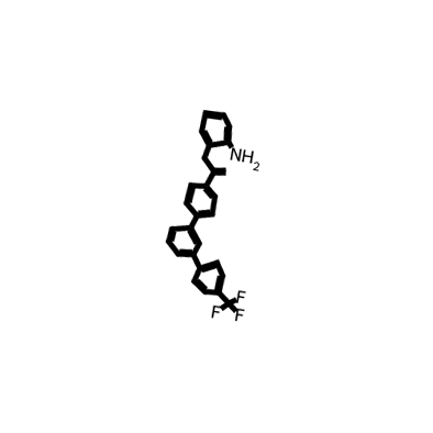 C=C(Cc1ccccc1N)c1ccc(-c2cccc(-c3ccc(C(F)(F)F)cc3)c2)cc1